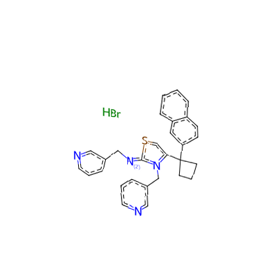 Br.c1cncc(C/N=c2\scc(C3(c4ccc5ccccc5c4)CCC3)n2Cc2cccnc2)c1